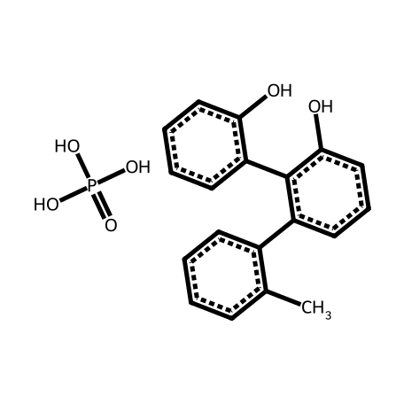 Cc1ccccc1-c1cccc(O)c1-c1ccccc1O.O=P(O)(O)O